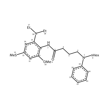 CCCCCCN(CCCC(=O)Nc1c(OC)nc(SC)nc1N(CC)CC)c1ccccc1